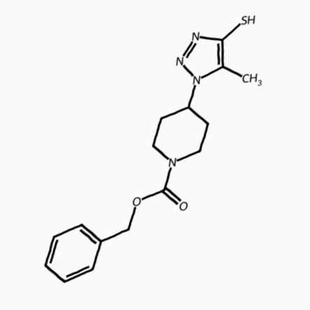 Cc1c(S)nnn1C1CCN(C(=O)OCc2ccccc2)CC1